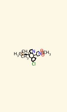 CS(C)(C)C#CC1=Cc2cc(Cl)ccc2C(C2CCN(S(C)(=O)=O)CC2)c2ncccc21